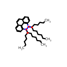 CCCCCCCN(CCCCCCC)c1cccc2ccc3cccc(N(CCCCCCC)CCCCCCC)c3c12